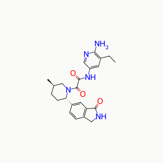 CCc1cc(NC(=O)C(=O)N2C[C@H](C)CC[C@H]2c2ccc3c(c2)C(=O)NC3)cnc1N